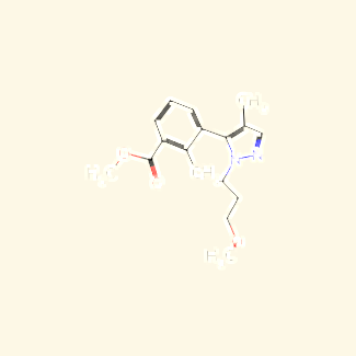 COCCCn1ncc(C)c1-c1cccc(C(=O)OC)c1C